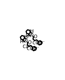 O=C([O-])C(CC(=O)N1C[C@H]2CCCC[C@H]2C1)Cc1ccccc1.O=C([O-])C(CC(=O)N1C[C@H]2CCCC[C@H]2C1)Cc1ccccc1.[Ca+2]